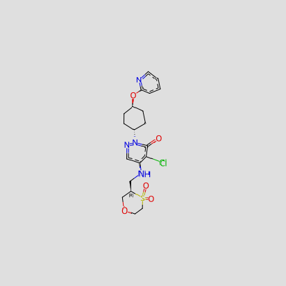 O=c1c(Cl)c(NC[C@@H]2COCCS2(=O)=O)cnn1[C@H]1CC[C@H](Oc2ccccn2)CC1